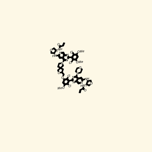 C=CC(=O)N[C@H]1COC[C@H]1Nc1cc2c(N3CCC4(COC(COc5cc(OC)c(Cl)c(-c6nc(N7CCOCC7)c7cc(N[C@@H]8COC[C@@H]8NC(=O)C=C)ncc7n6)c5Cl)C4)C3)nc(-c3c(Cl)c(OC)cc(OC)c3Cl)nc2cn1